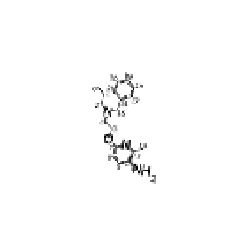 CCCN(CCOc1ccc(N)c(C)n1)Cc1ccccc1